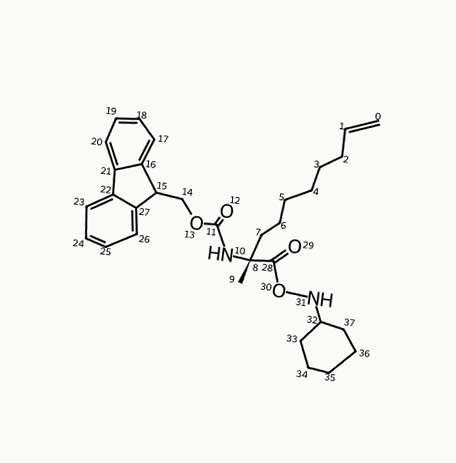 C=CCCCCCC[C@@](C)(NC(=O)OCC1c2ccccc2-c2ccccc21)C(=O)ONC1CCCCC1